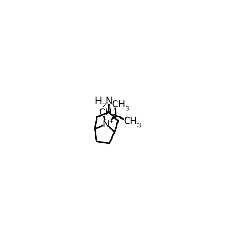 CC(C)[N+]1(C)C2CCC1CC(N)C2